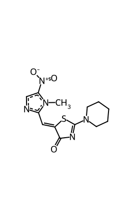 Cn1c([N+](=O)[O-])cnc1C=C1SC(N2CCCCC2)=NC1=O